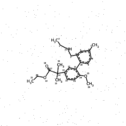 CCNCc1cc(C)ccc1-c1cc(C(C)(C)C(=O)OCC)ccc1OC